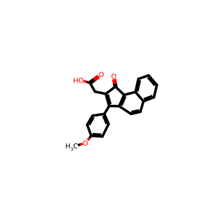 COc1ccc(C2=C(CC(=O)O)C(=O)c3c2ccc2ccccc32)cc1